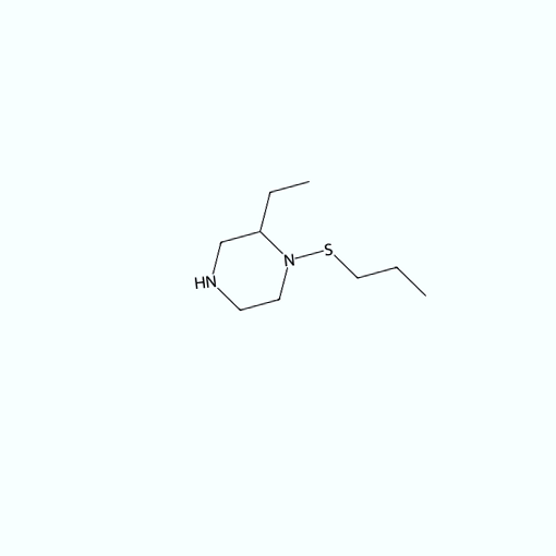 CCCSN1CCNCC1CC